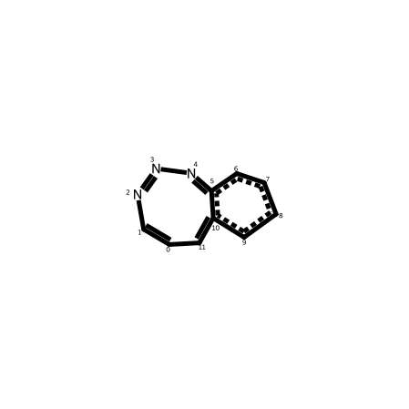 C1=CN=NN=c2ccccc2=C1